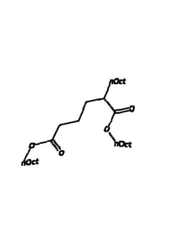 CCCCCCCCOC(=O)CCCC(CCCCCCCC)C(=O)OCCCCCCCC